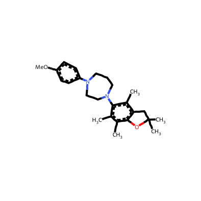 COc1ccc(N2CCCN(c3c(C)c(C)c4c(c3C)CC(C)(C)O4)CC2)cc1